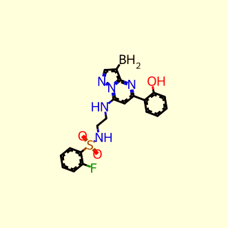 Bc1cnn2c(NCCNS(=O)(=O)c3ccccc3F)cc(-c3ccccc3O)nc12